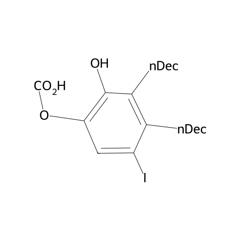 CCCCCCCCCCc1c(I)cc(OC(=O)O)c(O)c1CCCCCCCCCC